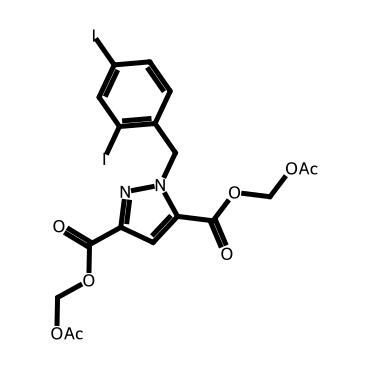 CC(=O)OCOC(=O)c1cc(C(=O)OCOC(C)=O)n(Cc2ccc(I)cc2I)n1